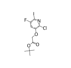 CC(C)(C)OC(=O)COc1cc(F)c(I)nc1Cl